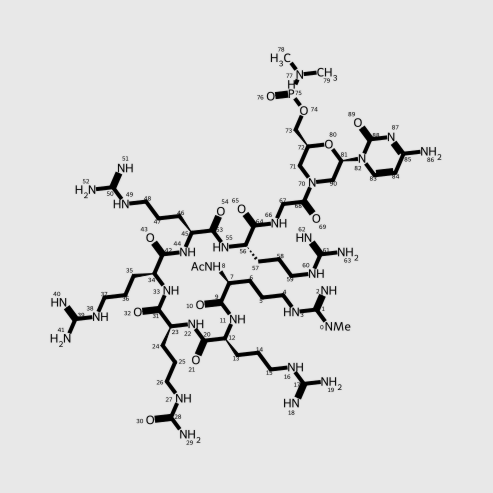 CNC(=N)NCCC[C@H](NC(C)=O)C(=O)N[C@@H](CCCNC(=N)N)C(=O)N[C@@H](CCCNC(N)=O)C(=O)N[C@@H](CCCNC(=N)N)C(=O)N[C@@H](CCCNC(=N)N)C(=O)N[C@@H](CCCNC(=N)N)C(=O)NCC(=O)N1C[C@@H](CO[PH](=O)N(C)C)O[C@@H](n2ccc(N)nc2=O)C1